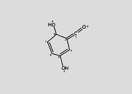 O=C=C1C=C(O)C=CC1O